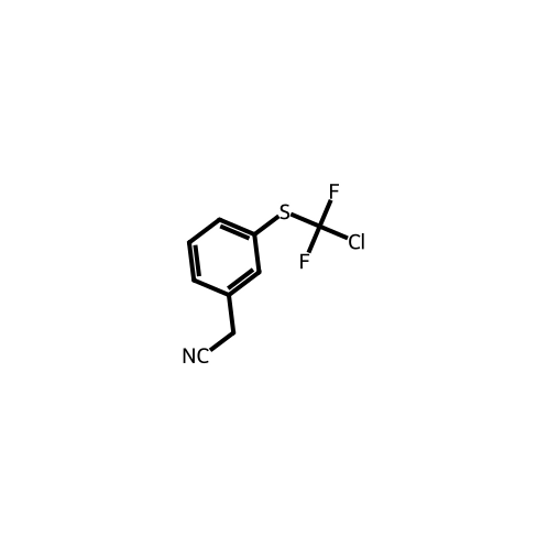 N#CCc1cccc(SC(F)(F)Cl)c1